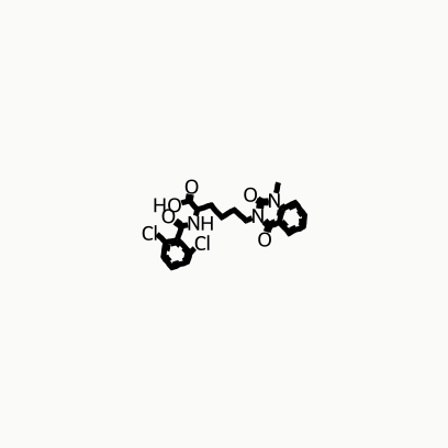 Cn1c(=O)n(CCCCC(NC(=O)c2c(Cl)cccc2Cl)C(=O)O)c(=O)c2ccccc21